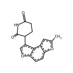 Cc1cc2c(ccc3occ(C4CCC(=O)NC4=O)c32)o1